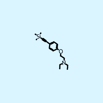 CCN(CC)CCOc1ccc(C#C[Si](C)(C)C)cc1